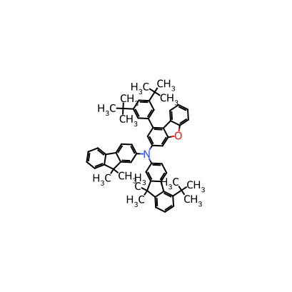 CC(C)(C)c1cc(-c2cc(N(c3ccc4c(c3)C(C)(C)c3ccccc3-4)c3ccc4c(c3)C(C)(C)c3cccc(C(C)(C)C)c3-4)cc3oc4ccccc4c23)cc(C(C)(C)C)c1